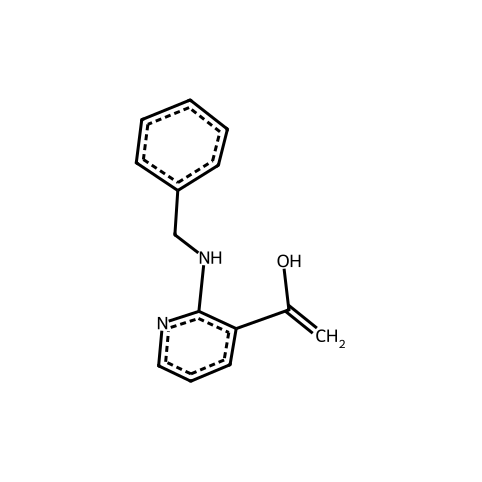 C=C(O)c1cccnc1NCc1ccccc1